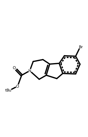 CC(C)(C)OC(=O)N1CCC2=C(Cc3ccc(Br)cc32)C1